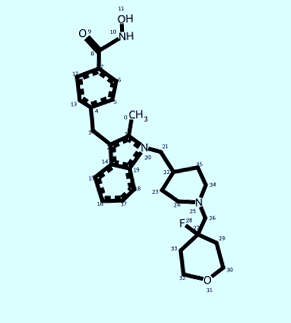 Cc1c(Cc2ccc(C(=O)NO)cc2)c2ccccc2n1CC1CCN(CC2(F)CCOCC2)CC1